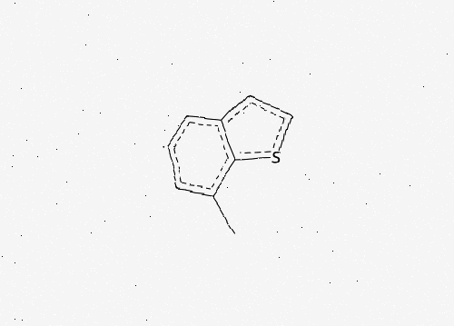 Cc1c[c]cc2ccsc12